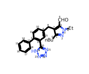 CCCCc1nn(CC)c(C=O)c1Cc1ccc(-c2ccccc2)c(-c2nnn[nH]2)c1